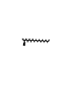 CCCCCCCCCCCCCCCC(C)C#N